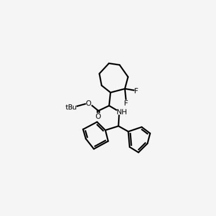 CC(C)(C)OC(=O)C(NC(c1ccccc1)c1ccccc1)C1CCCCCC1(F)F